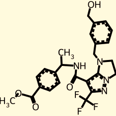 COC(=O)c1ccc(C(C)NC(=O)c2c(C(F)(F)F)nn3c2N(Cc2cccc(CO)c2)CC3)cc1